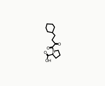 O=C(CCC1CCCCC1)C(=O)N1CCCC1C(=O)O